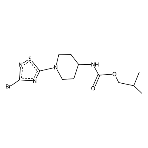 CC(C)COC(=O)NC1CCN(c2nc(Br)ns2)CC1